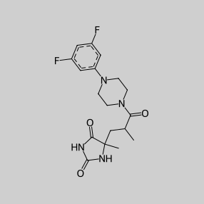 CC(CC1(C)NC(=O)NC1=O)C(=O)N1CCN(c2cc(F)cc(F)c2)CC1